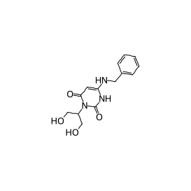 O=c1cc(NCc2ccccc2)[nH]c(=O)n1C(CO)CO